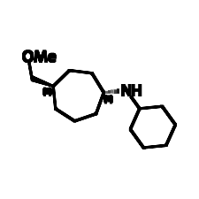 COC[C@@H]1CCC[C@@H](NC2CCCCC2)CC1